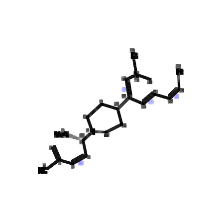 C=C(C#N)/C=C\[C@H](NC)N1CCC(C(=C/N(C)CC)/C=C/C=C\CC)CC1